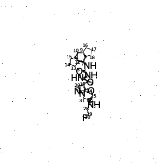 N=S(=O)(NC(=O)Nc1c2c(cc3c1CCC3)CCC2)c1cnn2c1OC[C@@H](NCCF)C2